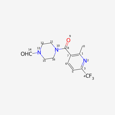 Cc1nc(C(F)(F)F)ccc1C(=O)N1CCN(C=O)CC1